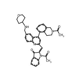 CC(=O)N1CCc2c(cccc2-c2cc(C=C3C(=O)c4ccccc4N3C(C)=O)nc3ccc(CNC4CCOCC4)cc23)C1